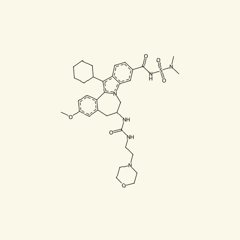 COc1ccc2c(c1)CC(NC(=O)NCCN1CCOCC1)Cn1c-2c(C2CCCCC2)c2ccc(C(=O)NS(=O)(=O)N(C)C)cc21